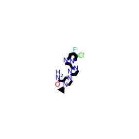 NC(=O)C1CN(c2ccnc(-c3cnc4cc(F)c(Cl)cn34)n2)CCN1C1CC1